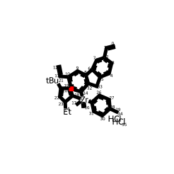 C=Cc1ccc2c(c1)-c1cc(C=C)c[c]([Zr](=[CH2])([CH3])([C]3=CC(C(C)(C)C)=CC3CC)[c]3ccc(C)cc3)c1C2.Cl.Cl